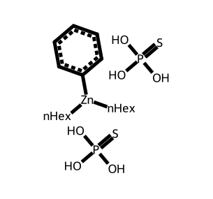 CCCCC[CH2][Zn]([CH2]CCCCC)[c]1ccccc1.OP(O)(O)=S.OP(O)(O)=S